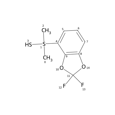 CS(C)(S)c1cccc2c1OC(F)(F)O2